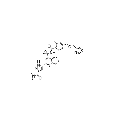 Cc1cc(COCc2cscn2)ccc1C(=O)NC1(c2cc(-c3cc(C(=O)N(C)C)n[nH]3)nc3ccccc23)CC1